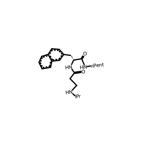 CCCCCNC(=O)[C@@H](Cc1ccc2ccccc2c1)NC(=O)CCNC(C)C